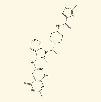 CSc1cc(C)[nH]c(=O)c1CC(=O)Nc1c(C)n(C(C)C2CCC(NC(=O)c3csc(C)n3)CC2)c2ccccc12